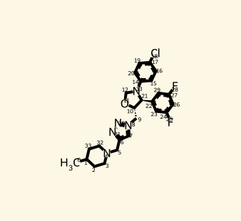 CC1CCN(Cc2cn(C[C@@H]3OCN(c4ccc(Cl)cc4)[C@H]3c3cc(F)cc(F)c3)nn2)CC1